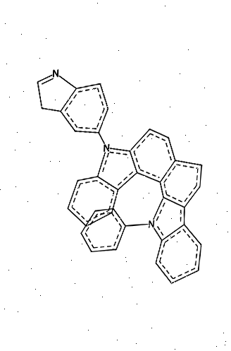 C1=Nc2ccc(-n3c4ccccc4c4c5c(ccc6c7ccccc7n(-c7ccccc7)c65)ccc43)cc2C1